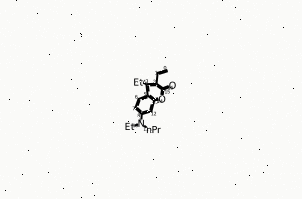 C=Cc1c(CC)c2ccc(N(CC)CCC)cc2oc1=O